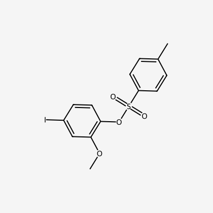 COc1cc(I)ccc1OS(=O)(=O)c1ccc(C)cc1